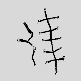 C=CC(=O)OCC.FC(F)(F)C(F)(F)C(F)(F)C(F)(F)C(F)(F)F